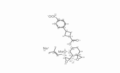 CO[C@@H]1[C@H](OC(=O)N2CC(c3ccc(C(=O)[O-])nc3)C2)CC[C@]2(CO2)[C@H]1[C@@]1(C)O[C@@H]1CC=C(C)C.[Na+]